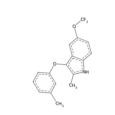 Cc1cccc(Oc2c(C)[nH]c3ccc(OC(F)(F)F)cc23)c1